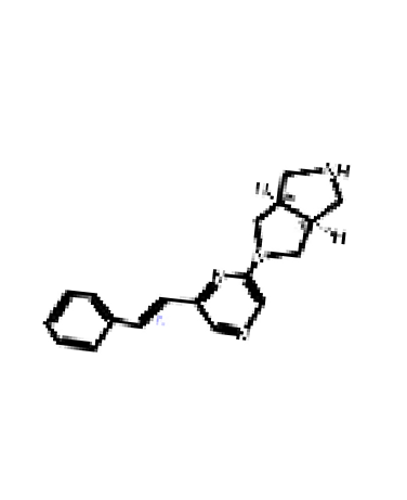 C(=C\c1cncc(N2C[C@H]3CNC[C@H]3C2)n1)/c1ccccc1